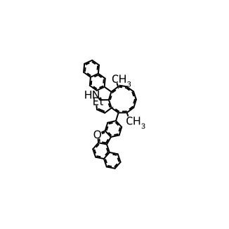 CC/C=C\c1c(C=N)c(-c2ccc3ccccc3c2)c(C)ccccc(C)c1-c1ccc2c(c1)oc1ccc3ccccc3c12